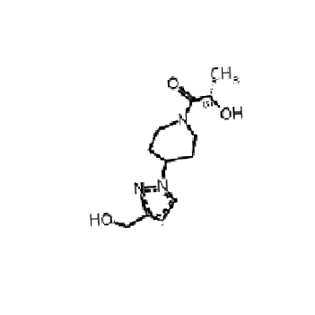 C[C@H](O)C(=O)N1CCC(n2c[c]c(CO)n2)CC1